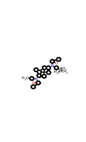 Cc1ccc(N(c2ccc3c4c(c5ccccc5c3c2)-c2ccc3cc(N(c5ccc([Si](C)(C)C)cc5)c5cccc6c5oc5ccccc56)ccc3c2C4(c2ccccc2)c2ccccc2)c2cccc3c2oc2ccccc23)cc1